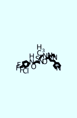 CC(NC(=O)c1cc(-c2ccncc2)ncn1)c1ncc(C(=O)Nc2ccc(C(F)(F)F)c(Cl)c2)s1